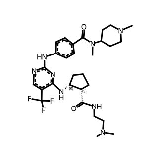 CN(C)CCNC(=O)[C@H]1CCC[C@H]1Nc1nc(Nc2ccc(C(=O)N(C)C3CCN(C)CC3)cc2)ncc1C(F)(F)F